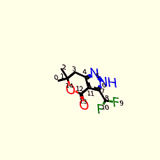 CC1(C)Cc2n[nH]c(C(F)F)c2C(=O)O1